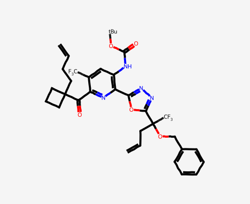 C=CCCC1(C(=O)c2nc(-c3nnc(C(CC=C)(OCc4ccccc4)C(F)(F)F)o3)c(NC(=O)OC(C)(C)C)cc2C(F)(F)F)CCC1